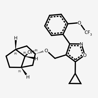 O[C@H]1[C@@H]2CC[C@H]1C[C@@H](OCc1c(-c3ccccc3OC(F)(F)F)noc1C1CC1)C2